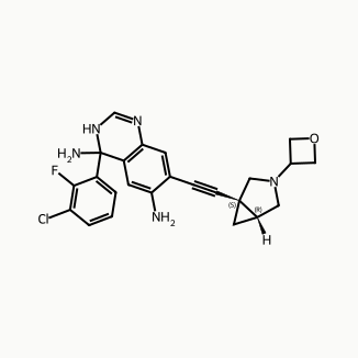 Nc1cc2c(cc1C#C[C@]13C[C@H]1CN(C1COC1)C3)N=CNC2(N)c1cccc(Cl)c1F